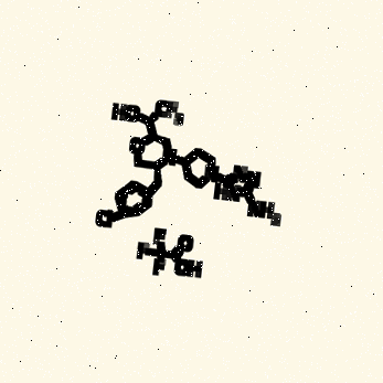 Nc1nnc(N2CCC(N3C[C@H]([C@@H](O)C(F)(F)F)OC[C@@H]3Cc3ccc(Cl)cc3)CC2)[nH]1.O=C(O)C(F)(F)F